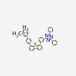 C=C/C=C(\C=C/C)c1ccc(-c2cccc3c2sc2c(-c4cccc(-c5nc(-c6ccccc6)nc(-c6ccccc6)n5)c4)cccc23)cc1